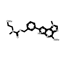 CNc1nc2[nH]c(-c3cccc(COC(=O)N(C)CCOC)c3)cc2c2c1ncn2C